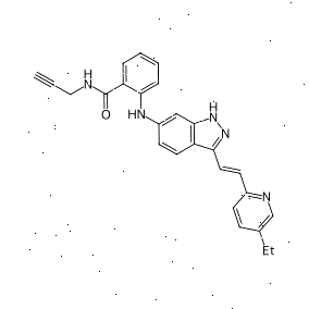 C#CCNC(=O)c1ccccc1Nc1ccc2c(C=Cc3ccc(CC)cn3)n[nH]c2c1